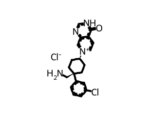 NC[C@]1(c2cccc(Cl)c2)CC[C@@H]([n+]2ccc3c(=O)[nH]cnc3c2)CC1.[Cl-]